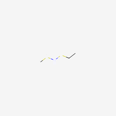 CCSNSC